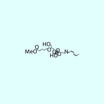 C\C=C/C=C\C=N\CCOP(=O)(O)OCC(CO)OCCCCC(=O)OC